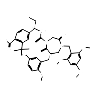 CC[C@@H](NC(=O)N1CC(=O)N(Cc2c(OC)cc(OC)cc2OC)C[C@@H](Cc2cc(Cl)ccc2OC)C1=O)c1ccc(C(=O)O)c(C(C)(C)C)c1